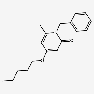 CCCCCOc1cc(C)n(Cc2ccccc2)c(=O)c1